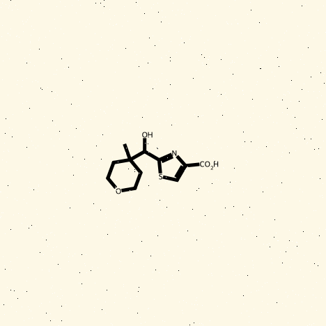 CC1(C(O)c2nc(C(=O)O)cs2)CCOCC1